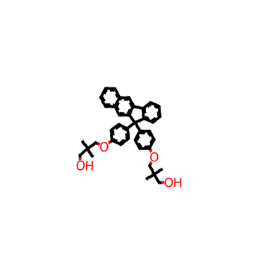 CC(C)(CO)COc1ccc(C2(c3ccc(OCC(C)(C)CO)cc3)c3ccccc3-c3cc4ccccc4cc32)cc1